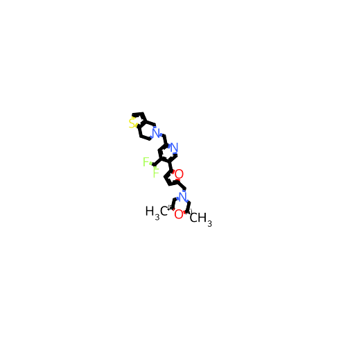 C[C@@H]1CN(Cc2ccc(-c3cnc(CN4CCc5sccc5C4)cc3C(F)F)o2)C[C@H](C)O1